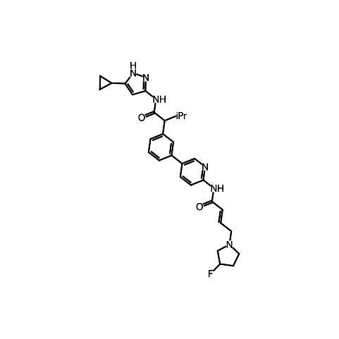 CC(C)C(C(=O)Nc1cc(C2CC2)[nH]n1)c1cccc(-c2ccc(NC(=O)/C=C/CN3CCC(F)C3)nc2)c1